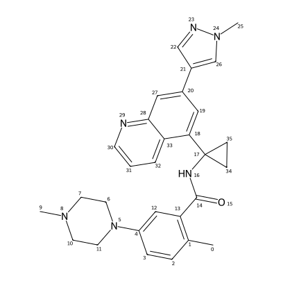 Cc1ccc(N2CCN(C)CC2)cc1C(=O)NC1(c2cc(-c3cnn(C)c3)cc3ncccc23)CC1